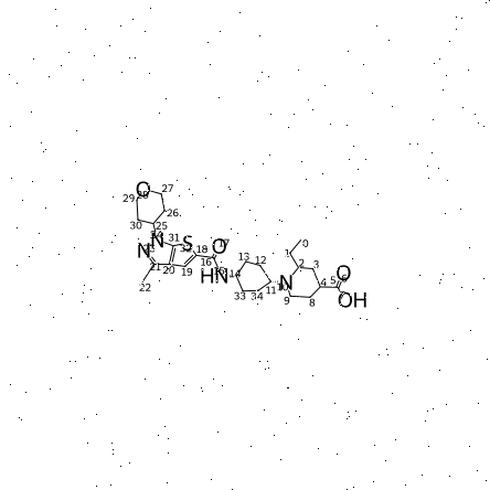 CCC1CC(C(=O)O)CCN1[C@H]1CC[C@@H](NC(=O)c2cc3c(C)nn(C4CCOCC4)c3s2)CC1